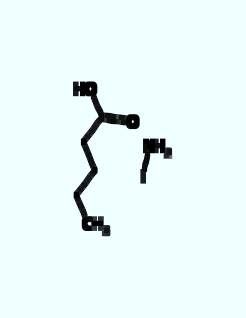 CCCCC(=O)O.NI